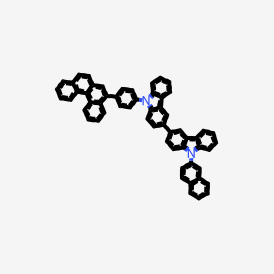 c1ccc2cc(-n3c4ccccc4c4cc(-c5ccc6c(c5)c5ccccc5n6-c5ccc(-c6cc7ccc8ccccc8c7c7ccccc67)cc5)ccc43)ccc2c1